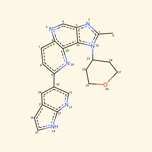 Cc1nc2cnc3ccc(-c4cnc5[nH]ccc5c4)nc3c2n1C1CCOCC1